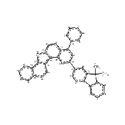 CC1(C)c2ccccc2-c2ccc(-c3cc(-c4ccccc4)c4ccc5oc6c7ccccc7ccc6c5c4n3)cc21